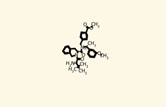 COC(=O)c1ccc(CN(C(=O)[C@@H]2Cc3ccccc3CN2C(=O)[C@@H](N)C(C)(C)C)[C@H](C)c2cccc(OC)c2)cc1